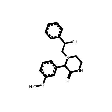 COc1cccc(C2C(=O)NCCN2CC(O)c2ccccc2)c1